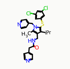 Cc1c(CNC(=O)Cc2ccncc2)c(C(C)C)c(Sc2cc(Cl)cc(Cl)c2)n1Cc1ccncc1